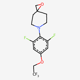 Fc1cc(OCC(F)(F)F)cc(F)c1N1CCC2(CC1)CO2